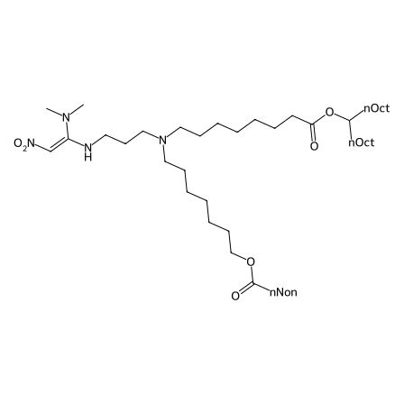 CCCCCCCCCC(=O)OCCCCCCCN(CCCCCCCC(=O)OC(CCCCCCCC)CCCCCCCC)CCCN/C(=C/[N+](=O)[O-])N(C)C